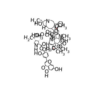 C=C(C)[C@H]1CN[C@H](C(=O)O)[C@H]1CC(=O)O.CC[C@]1(O)C[C@@H]2C[N@@](CCc3c([nH]c4ccccc34)[C@@](C(=O)OC)(c3cc4c(cc3OC)N(C)[C@H]3[C@@](O)(C(=O)OC)[C@H](OC(C)=O)[C@]5(CC)C=CCN6CC[C@]43[C@@H]65)C2)C1.O=c1cc(-c2ccc(O)c(O)c2)oc2cc(O)cc(O)c12